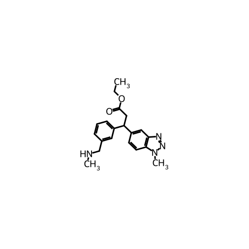 CCOC(=O)CC(c1cccc(CNC)c1)c1ccc2c(c1)nnn2C